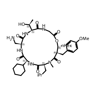 CCCCCC[C@H]1OC(=O)CNC(=O)[C@H]([C@H](C)O)NC(=O)[C@H](CN)NC(=O)[C@H](C2CCCCC2)NC(=O)[C@H](CC(C)C)N(C)C(=O)[C@@H]1Cc1ccc(OC)cc1